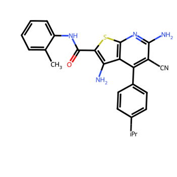 Cc1ccccc1NC(=O)c1sc2nc(N)c(C#N)c(-c3ccc(C(C)C)cc3)c2c1N